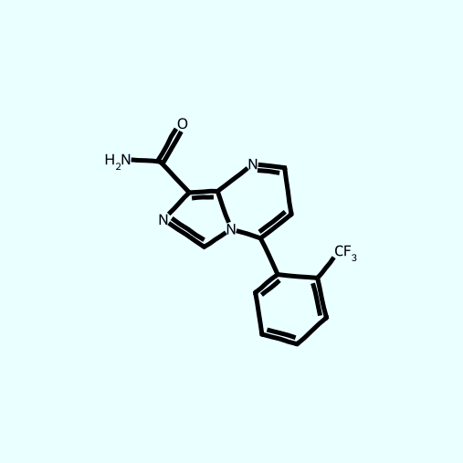 NC(=O)c1ncn2c(-c3ccccc3C(F)(F)F)ccnc12